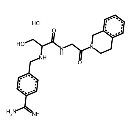 Cl.N=C(N)c1ccc(CNC(CO)C(=O)NCC(=O)N2CCc3ccccc3C2)cc1